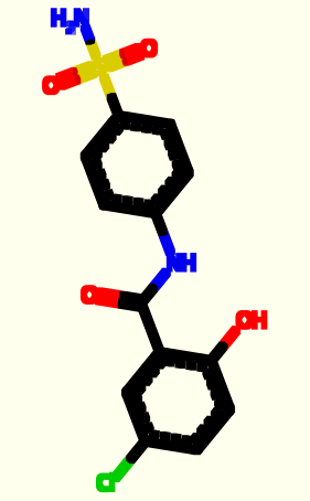 NS(=O)(=O)c1ccc(NC(=O)c2cc(Cl)ccc2O)cc1